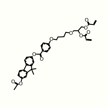 C=CC(=O)OCC(COCCCCOc1ccc(C(=O)Oc2ccc3c(c2)C(C)(C)c2cc(OC(C)=O)ccc2-3)cc1)OC(=O)C=C